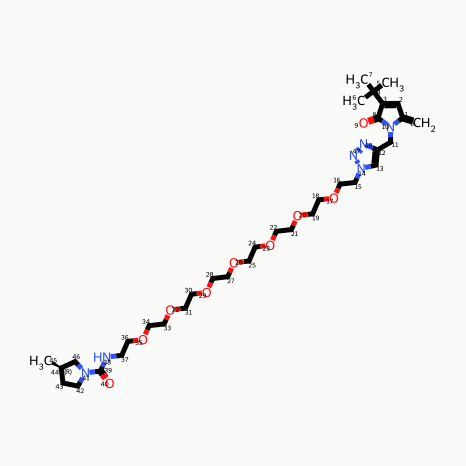 C=C1C=C(C(C)(C)C)C(=O)N1Cc1cn(CCOCCOCCOCCOCCOCCOCCOCCNC(=O)N2CC[C@@H](C)C2)nn1